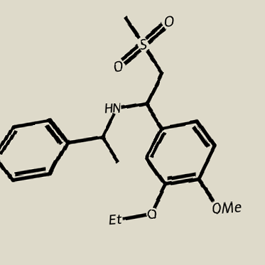 CCOc1cc(C(CS(C)(=O)=O)NC(C)c2ccccc2)ccc1OC